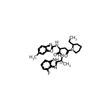 CCC1CCCCN1C(=O)CC(Nc1nc2ccc(C)cc2o1)C(=O)N[C@@H](C)c1nc2c(F)cccc2[nH]1